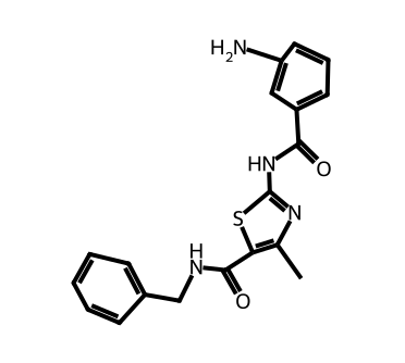 Cc1nc(NC(=O)c2cccc(N)c2)sc1C(=O)NCc1ccccc1